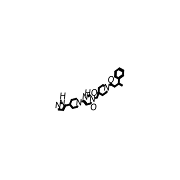 CC(CC(=O)N1CCC(O)(Cn2cnc(N3CCC(c4ccn[nH]4)CC3)cc2=O)CC1)c1ccccc1